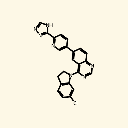 Clc1ccc2c(c1)N(c1ncnc3ccc(-c4ccc(-c5nnc[nH]5)nc4)cc13)CC2